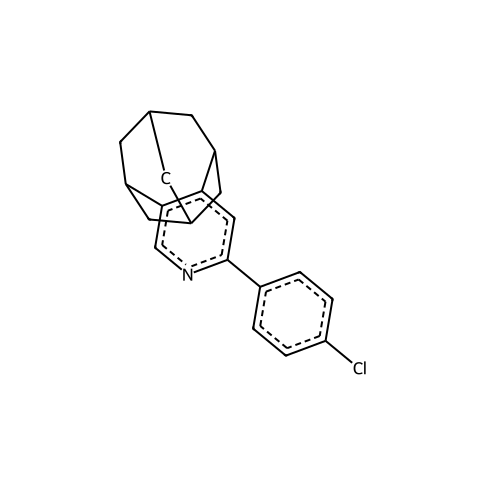 Clc1ccc(-c2cc3c(cn2)C2CC4CC(C2)CC3C4)cc1